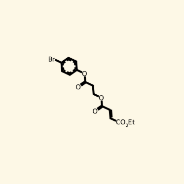 CCOC(=O)/C=C/C(=O)OCCC(=O)Oc1ccc(Br)cc1